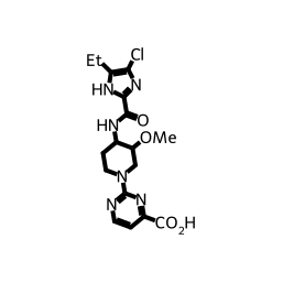 CCc1[nH]c(C(=O)NC2CCN(c3nccc(C(=O)O)n3)CC2OC)nc1Cl